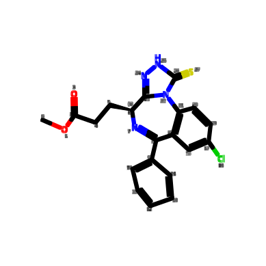 COC(=O)CC[C@@H]1N=C(c2ccccc2)c2cc(Cl)ccc2-n2c1n[nH]c2=S